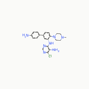 CN1CCN(c2ccc(-c3ccc(N)cc3)cc2Nc2ncnc(Cl)c2N)CC1